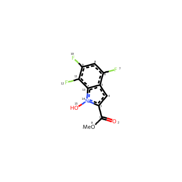 COC(=O)c1cc2c(F)cc(F)c(F)c2n1O